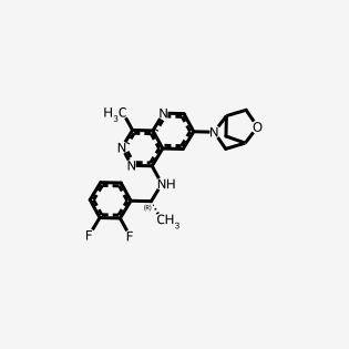 Cc1nnc(N[C@H](C)c2cccc(F)c2F)c2cc(N3CC4CC3CO4)cnc12